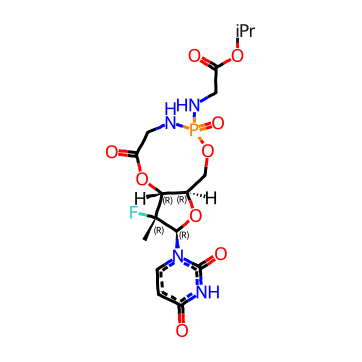 CC(C)OC(=O)CNP1(=O)NCC(=O)O[C@@H]2[C@@H](CO1)O[C@@H](n1ccc(=O)[nH]c1=O)[C@]2(C)F